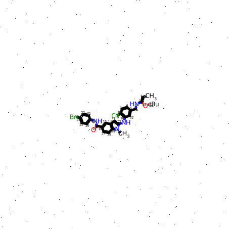 CC=C(NCc1ccc(Cl)c(Nc2cc3cc(C(=O)Nc4ccc(Br)cc4)ccc3n2C)c1)OC(C)(C)C